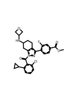 COC(=O)c1ccc(-c2nn(C(=O)c3c(Cl)cccc3C3CC3)c3c2CCC(NC2COC2)C3)c(F)c1